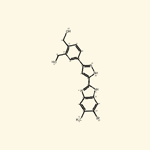 Cc1cc2nc(-c3cc(-c4ccc(CO)c(CO)c4)n[nH]3)[nH]c2cc1Br